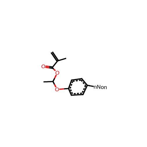 C=C(C)C(=O)OC(C)Oc1ccc(CCCCCCCCC)cc1